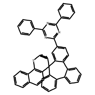 c1ccc(-c2nc(-c3ccccc3)nc(-c3ccc4c(c3)C3(c5ccccc5Sc5c3ccc3ccccc53)c3ccccc3-c3ccccc3-4)n2)cc1